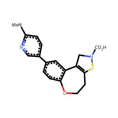 CNc1ccc(-c2ccc3c(c2)C2=C(CCO3)SN(C(=O)O)C2)cn1